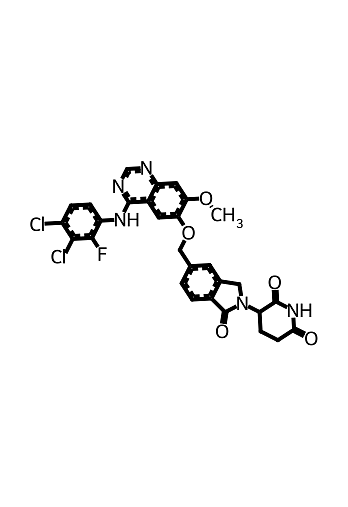 COc1cc2ncnc(Nc3ccc(Cl)c(Cl)c3F)c2cc1OCc1ccc2c(c1)CN(C1CCC(=O)NC1=O)C2=O